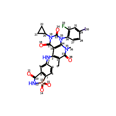 Cc1c(Nc2ccc3c(c2)C(=O)NS3(=O)=O)c2c(=O)n(C3CC3)c(=O)n(-c3ccc(I)cc3F)c2n(C)c1=O